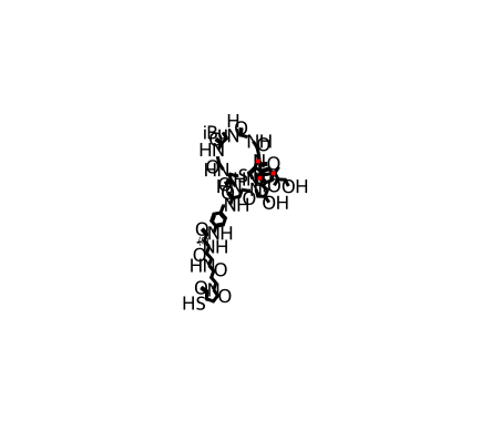 CCC(C)C1NC(=O)CNC(=O)C2Cc3c([nH]c4ccccc34)SCC(NC(=O)CNC1=O)C(=O)NC(CC(=O)NCc1ccc(NC(=O)[C@H](C)NC(=O)CNC(=O)CCN3C(=O)CC(S)C3=O)cc1)C(=O)N1CC(O)CC1CC(C(C)C(O)CO)C(=O)N2